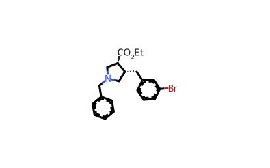 CCOC(=O)[C@@H]1CN(Cc2ccccc2)C[C@H]1Cc1cccc(Br)c1